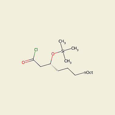 CCCCCCCCCCC[C@H](CC(=O)Cl)O[Si](C)(C)C